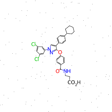 O=C(O)CCNC(=O)c1ccc(Oc2nn(-c3cc(Cl)cc(Cl)c3)cc2-c2ccc(C3CCCCC3)cc2)cc1